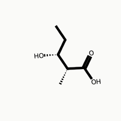 CC[C@@H](O)[C@@H](C)C(=O)O